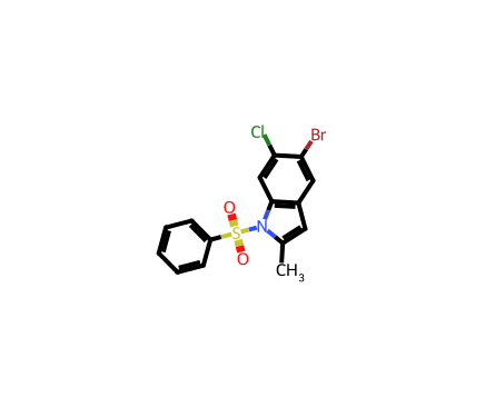 Cc1cc2cc(Br)c(Cl)cc2n1S(=O)(=O)c1ccccc1